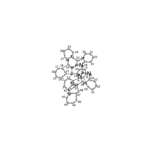 c1ccc2c(c1)-c1ccccc1C21c2ccccc2-c2c1c1c(c3ccccc23)c2ccccc2n1-c1nc(-c2ccc3ccccc3c2)c2ccccc2n1